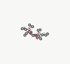 c1cc(-c2ccc(-c3nc(-c4cc5oc6ccccc6c5cc4-n4c5cc6ccccc6cc5c5c6ccccc6ccc54)nc(-n4c5ccccc5c5ccccc54)n3)cc2)cc(-c2ccc3cc4c(cc3c2)c2ccccc2n4-c2cc3c(cc2-c2nc(-c4cccc5ccccc45)nc(-n4c5ccccc5c5ccccc54)n2)oc2c4ccccc4ccc32)c1